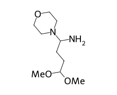 COC(CCC(N)N1CCOCC1)OC